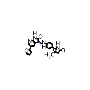 Cc1cc(=O)[nH]n1-c1ccc(N/C=C2\C(=O)Nc3ncc(-c4ccco4)cc32)cc1